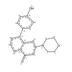 O=c1cc(N2CCOCC2)oc2c(-c3ccc(O)cc3)cccc12